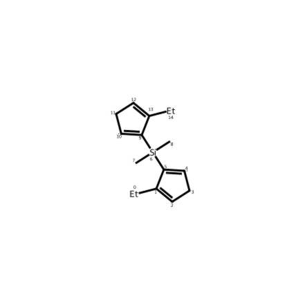 CCC1=CC[C]=C1[Si](C)(C)C1=[C]CC=C1CC